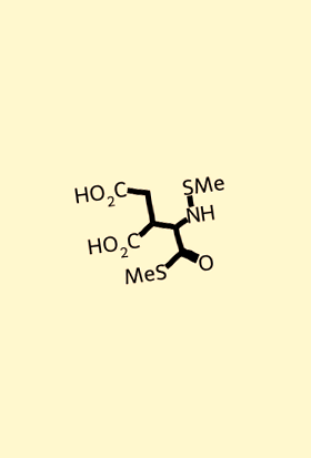 CSNC(C(=O)SC)C(CC(=O)O)C(=O)O